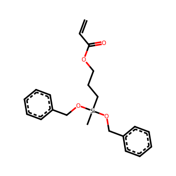 C=CC(=O)OCCC[Si](C)(OCc1ccccc1)OCc1ccccc1